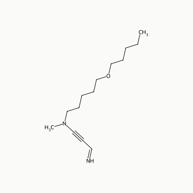 CCCCCOCCCCCN(C)C#CC=N